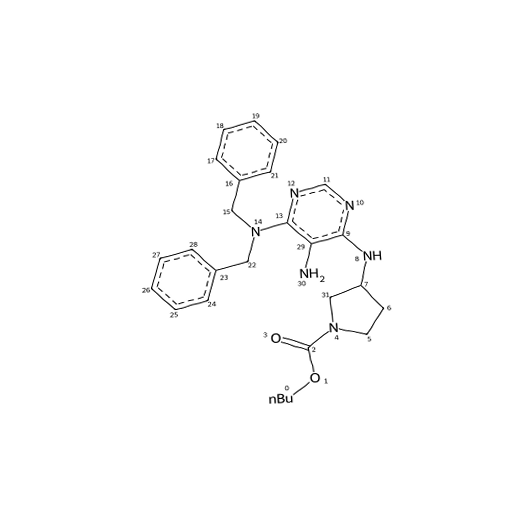 CCCCOC(=O)N1CCC(Nc2ncnc(N(Cc3ccccc3)Cc3ccccc3)c2N)C1